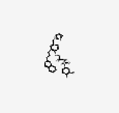 O=C(COc1ccc(Cn2cccn2)cc1CCCc1ccc2ccccc2c1)NS(=O)(=O)c1ccc(F)c(F)c1